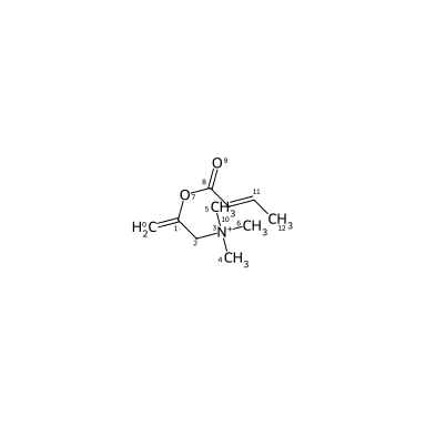 C=C(C[N+](C)(C)C)OC(=O)C=CC